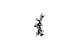 CCS(=O)(=O)c1cc(/C(C#N)=N/OCC(F)(F)F)cnc1-c1cn2c(=O)n(C3CC3)c(C(F)(F)F)cc2n1